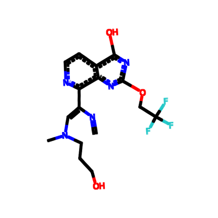 C=N/C(=C\N(C)CCCO)c1nccc2c(O)nc(OCC(F)(F)F)nc12